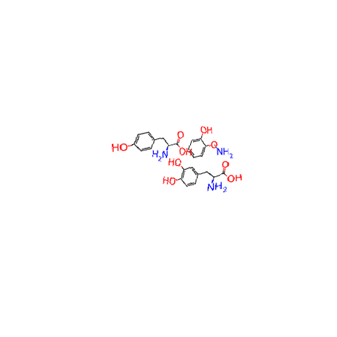 NOc1ccccc1O.N[C@@H](Cc1ccc(O)c(O)c1)C(=O)O.N[C@@H](Cc1ccc(O)cc1)C(=O)O